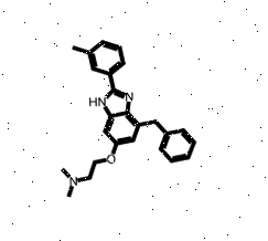 Cc1cccc(-c2nc3c(Cc4ccccc4)cc(OCCN(C)C)cc3[nH]2)c1